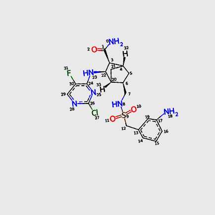 NC(=O)[C@H]1[C@@H]2C[C@@H](CNS(=O)(=O)Cc3cccc(N)c3)[C@@H](C2)[C@H]1Nc1nc(Cl)ncc1F